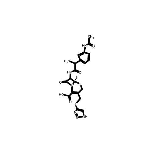 CC(=O)Nc1cccc(C(N)C(=O)NC2C(=O)N3C(C(=O)O)=C(CSc4c[nH]nn4)CS[C@H]23)c1